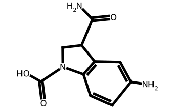 NC(=O)C1CN(C(=O)O)c2ccc(N)cc21